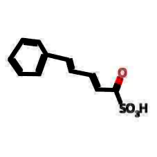 O=C(C=CC=Cc1ccccc1)S(=O)(=O)O